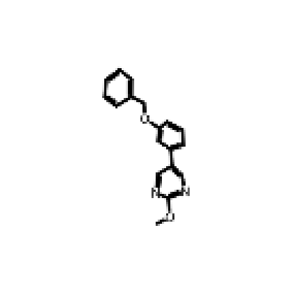 COc1ncc(-c2cccc(OCc3ccccc3)c2)cn1